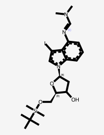 CN(C)/C=N/c1cccc2c1c(I)cn2[C@H]1CC(O)[C@@H](CO[Si](C)(C)C(C)(C)C)O1